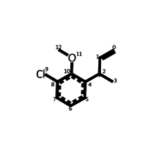 C=C[C](C)c1cccc(Cl)c1OC